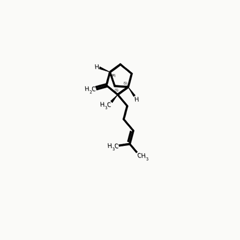 C=C1[C@@H]2CC[C@@H](C2)[C@]1(C)CCC=C(C)C